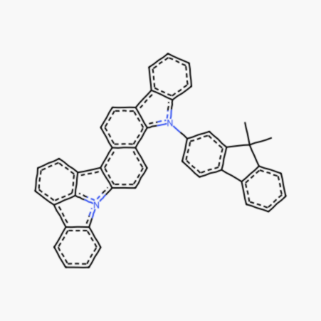 CC1(C)c2ccccc2-c2ccc(-n3c4ccccc4c4ccc5c(ccc6c5c5cccc7c8ccccc8n6c75)c43)cc21